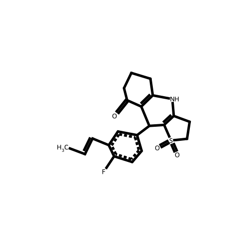 CC=Cc1cc(C2C3=C(CCCC3=O)NC3=C2S(=O)(=O)CC3)ccc1F